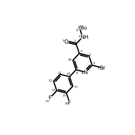 CC(C)(C)NC(=O)c1cc(Br)nc(-c2ccc(F)c(F)c2)c1